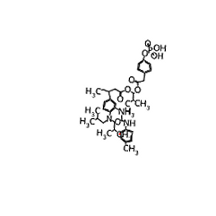 CCC(CC(=O)OC(OC(=O)Cc1ccc(OP(=O)(O)O)cc1)C(C)C)c1ccc(N(CC(C)C)CC(C)C)c(NC(=O)Nc2ccc(C)cc2)c1